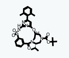 Cc1cccc(C)c1-c1cc2nc(n1)NS(=O)(=O)c1cccc(c1)C(=O)N1C[C@@H](CN(C(=O)OC(C)(C)C)C[C@@H]1C(C)C)O2